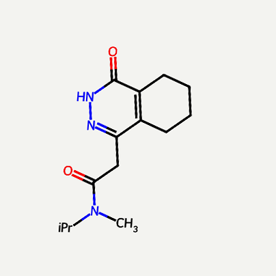 CC(C)N(C)C(=O)Cc1n[nH]c(=O)c2c1CCCC2